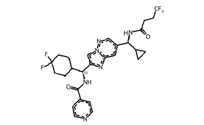 O=C(CCC(F)(F)F)NC(c1cnn2cc([C@@H](NC(=O)c3ccncc3)C3CCC(F)(F)CC3)nc2c1)C1CC1